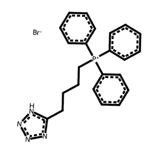 [Br-].c1ccc([P+](CCCCc2nnn[nH]2)(c2ccccc2)c2ccccc2)cc1